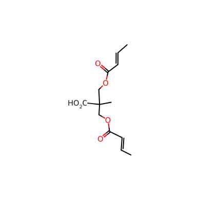 CC=CC(=O)OCC(C)(COC(=O)C=CC)C(=O)O